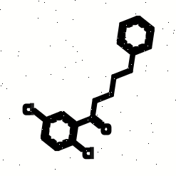 O=C(CCCCc1ccccc1)c1cc(Cl)ccc1Cl